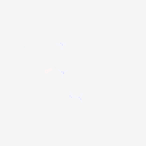 Cn1nc2c(c1-c1cc(F)c(F)c(F)c1)CCN(C(=O)c1c[nH]c3ccc(F)cc13)C2